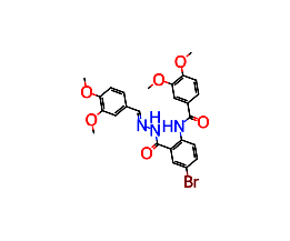 COc1ccc(C=NNC(=O)c2cc(Br)ccc2NC(=O)c2ccc(OC)c(OC)c2)cc1OC